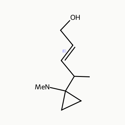 CNC1(C(C)/C=C/CO)CC1